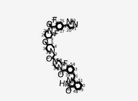 O=C(CN1CCC(OC2CCN(C(=O)c3c(F)cc(-c4ccncn4)cc3F)CC2)CC1)N1CCN(C(=O)c2cc(Cc3n[nH]c(=O)c4ccccc34)ccc2F)CC1